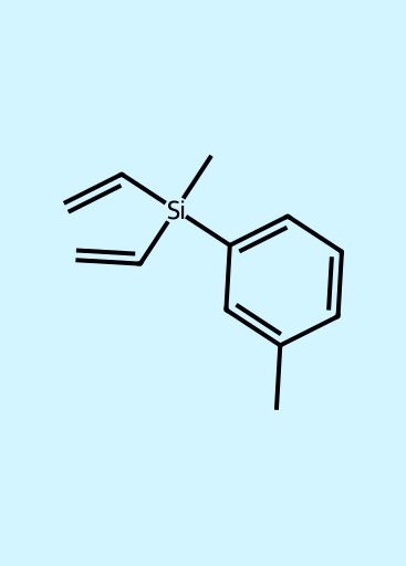 C=C[Si](C)(C=C)c1cccc(C)c1